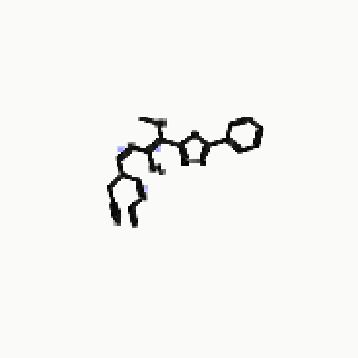 C=C/N=C\C(/C=N\C(N)=C(/NC)c1nnc(-c2ccccc2)o1)CC#N